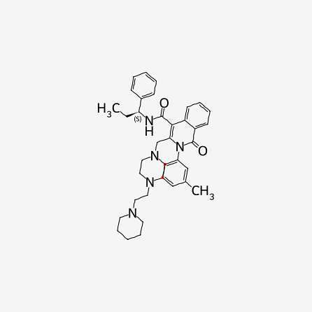 CC[C@H](NC(=O)c1c(CN2CCN(CCN3CCCCC3)CC2)n(-c2cccc(C)c2)c(=O)c2ccccc12)c1ccccc1